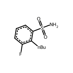 CCCCc1c(F)cccc1S(N)(=O)=O